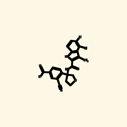 Cc1c(C(=O)NC2(c3ccc(C(=O)Cl)cc3C#N)CCOC2)[nH]c2ccc(Cl)c(Cl)c12